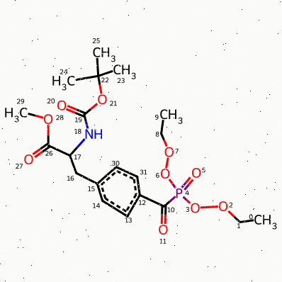 CCOOP(=O)(OOCC)C(=O)c1ccc(CC(NC(=O)OC(C)(C)C)C(=O)OC)cc1